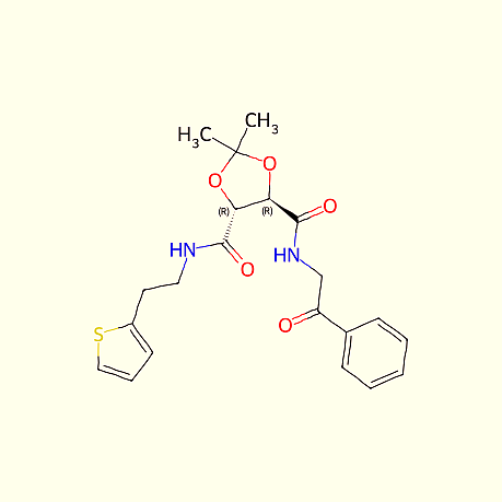 CC1(C)O[C@@H](C(=O)NCCc2cccs2)[C@H](C(=O)NCC(=O)c2ccccc2)O1